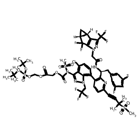 CC(C)(C)OP(=O)(OCOC(=O)COC(=O)N(c1nn(CC(F)(F)F)c2c(-c3ccc(C#CC(C)(C)S(C)(=O)=O)nc3[C@H](Cc3cc(F)cc(F)c3)NC(=O)Cn3nc(C(F)(F)F)c4c3C(F)(F)[C@@H]3C[C@H]43)ccc(Cl)c12)S(C)(=O)=O)OC(C)(C)C